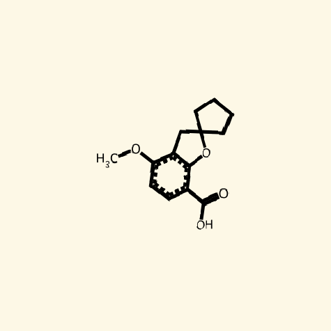 COc1ccc(C(=O)O)c2c1CC1(CCCC1)O2